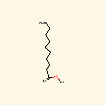 C=C(CCCCCCCCCCCCCCCCC)OCCCC